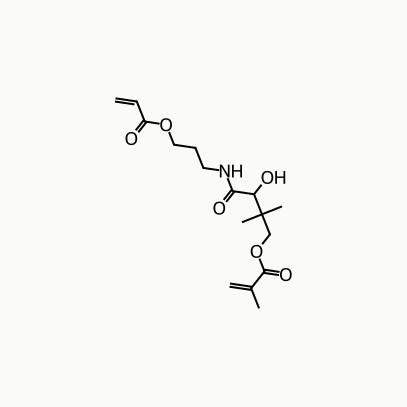 C=CC(=O)OCCCNC(=O)C(O)C(C)(C)COC(=O)C(=C)C